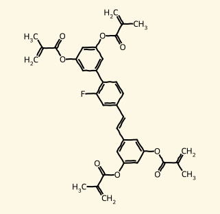 C=C(C)C(=O)Oc1cc(/C=C/c2ccc(-c3cc(OC(=O)C(=C)C)cc(OC(=O)C(=C)C)c3)c(F)c2)cc(OC(=O)C(=C)C)c1